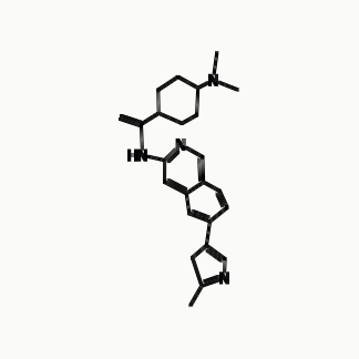 C=C(Nc1cc2cc(C3=CN=C(C)C3)ccc2cn1)C1CCC(N(C)C)CC1